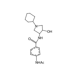 CC(=O)Nc1ccc(C(=O)NC2CN(C3CCCCC3)CC2O)cc1